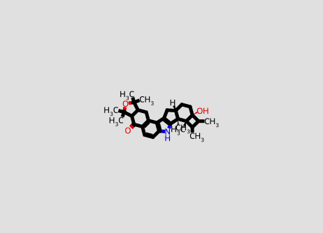 CC1C(C)[C@]2(O)CC[C@H]3Cc4c([nH]c5ccc6c(c45)CC4C(C6=O)C(C)(C)OC4(C)C)[C@]3(C)[C@@]12C